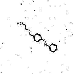 OCCSCc1ccc(/N=N/c2ccccc2)cc1